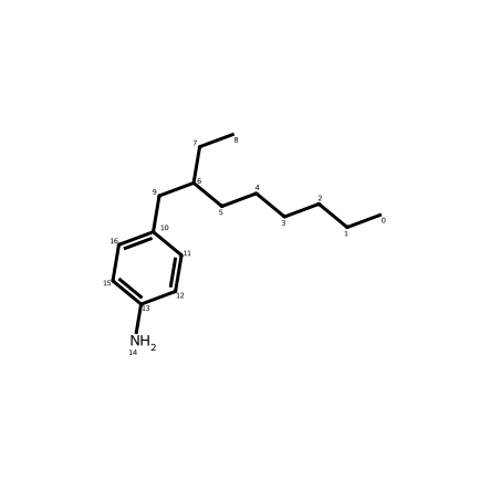 CCCCCCC(CC)Cc1ccc(N)cc1